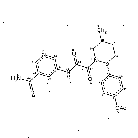 CC(=O)Oc1ccc(C2CCC(C)CN2C(=O)C(=O)Nc2cncc(C(N)=O)c2)cc1